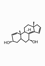 C[C@@]12CC=CC1=C1[C@@H](O)CC3C[C@@H](O)C=C[C@]3(C)[C@H]1CC2